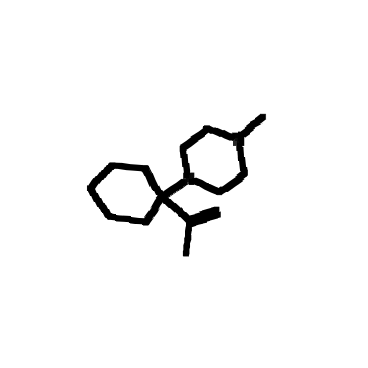 C=C(C)C1(N2CCN(C)CC2)CCCCC1